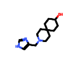 OC1CCC2(CC1)CCN(Cc1c[nH]cn1)CC2